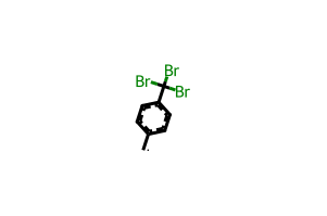 [CH2]c1ccc(C(Br)(Br)Br)cc1